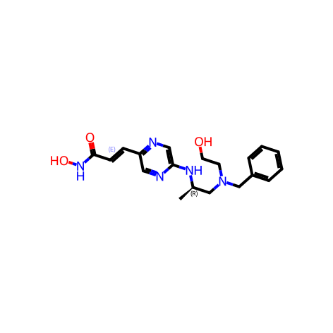 C[C@H](CN(CCO)Cc1ccccc1)Nc1cnc(/C=C/C(=O)NO)cn1